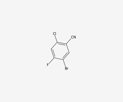 N#Cc1cc(Br)c(F)cc1Cl